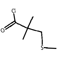 CSCC(C)(C)C(=O)Cl